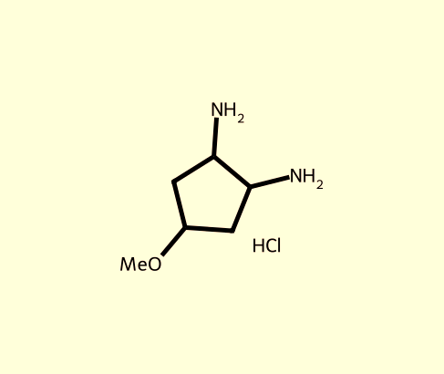 COC1CC(N)C(N)C1.Cl